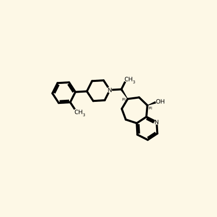 Cc1ccccc1C1CCN(C(C)[C@@H]2CCc3cccnc3[C@H](O)C2)CC1